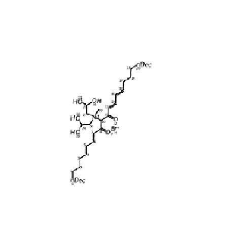 CCCCCCCCCCCCCC=CC=CC(=O)C(C(=O)C=CC=CCCCCCCCCCCCCC)[N+](C)(CC(O)O)CC(O)O.[Br-]